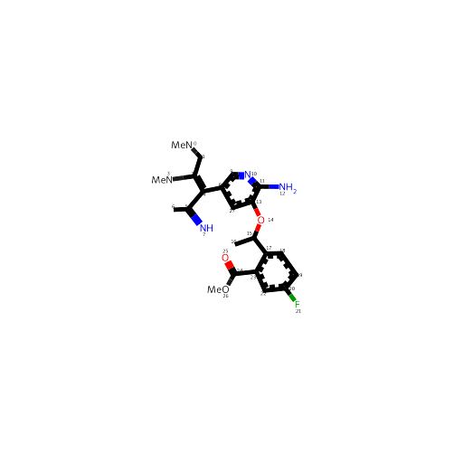 CNC/C(NC)=C(/C(C)=N)c1cnc(N)c(OC(C)c2ccc(F)cc2C(=O)OC)c1